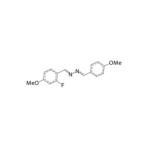 COc1ccc(/C=N/N=C/c2ccc(OC)cc2F)cc1